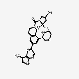 Cc1c[nH]c2ncc(-c3cc4c(c([C@@H]5COCCN5)c3)CN(C(=O)N3CC(O)CC3(C)C)CC4)nc12